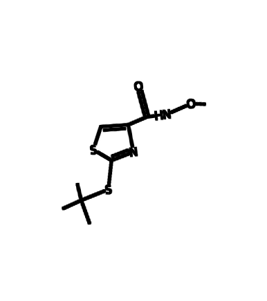 CONC(=O)c1csc(SC(C)(C)C)n1